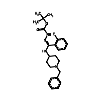 CC(C)(C)OC(=O)N/N=C(/NC1CCN(Cc2ccccc2)CC1)c1ccccc1F